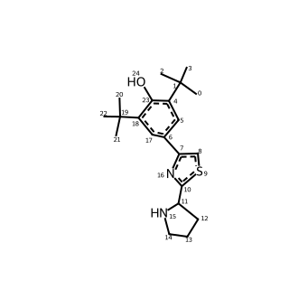 CC(C)(C)c1cc(-c2csc(C3CCCN3)n2)cc(C(C)(C)C)c1O